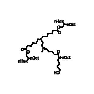 CCCCCCCCC(CCCCCC)COC(=O)CCCCCN(CCCCCC(=O)OCC(CCCCCC)CCCCCCCC)CCN(C)CCCCC(=O)N(CCCCO)CCCCCCCC